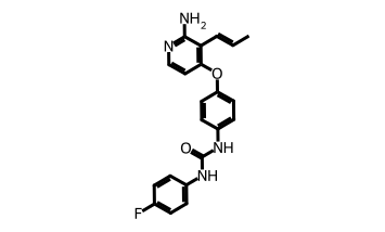 C/C=C/c1c(Oc2ccc(NC(=O)Nc3ccc(F)cc3)cc2)ccnc1N